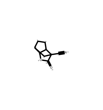 N#CC12CC3CCC1C3OC2=O